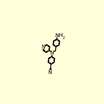 N#Cc1ccc(N(Cc2ccc(N)cc2)c2ccncc2)cc1